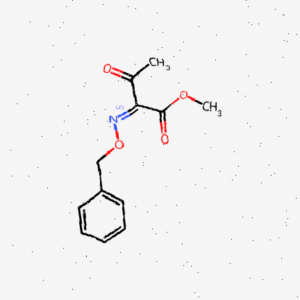 COC(=O)/C(=N\OCc1ccccc1)C(C)=O